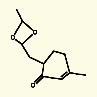 CC1=CC(=O)C(CC2OC(C)O2)CC1